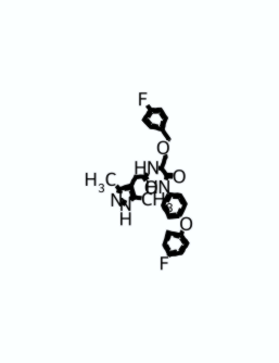 Cc1n[nH]c(C)c1CC(=O)NC(COCc1ccc(F)cc1)C(=O)Nc1ccc(Oc2ccc(F)cc2)cc1